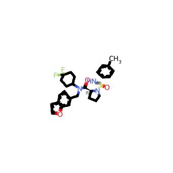 Cc1ccc([S@@](=N)(=O)N2CCC[C@H]2C(=O)N(Cc2ccc3ccoc3c2)C2CCC(F)(F)CC2)cc1